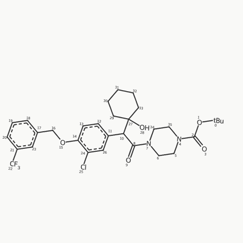 CC(C)(C)OC(=O)N1CCN(C(=O)C(c2ccc(OCc3cccc(C(F)(F)F)c3)c(Cl)c2)C2(O)CCCCC2)CC1